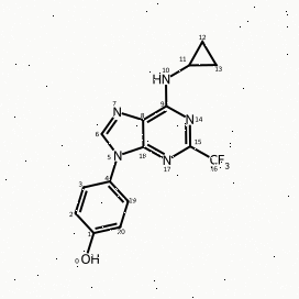 Oc1ccc(-n2cnc3c(NC4CC4)nc(C(F)(F)F)nc32)cc1